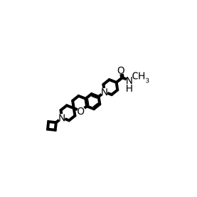 CNC(=O)C1CCN(c2ccc3c(c2)CCC2(CCN(C4CCC4)CC2)O3)CC1